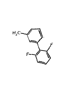 Cc1cc[c]c(-c2c(F)cccc2F)c1